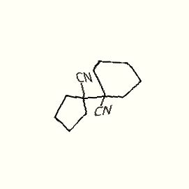 N#CC1(C2(C#N)CCCC2)CCCCC1